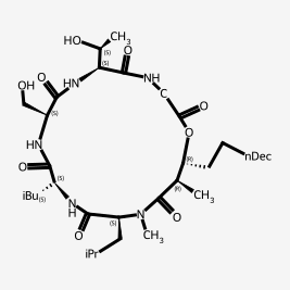 CCCCCCCCCCCC[C@H]1OC(=O)CNC(=O)[C@H]([C@H](C)O)NC(=O)[C@H](CO)NC(=O)[C@H]([C@@H](C)CC)NC(=O)[C@H](CC(C)C)N(C)C(=O)[C@@H]1C